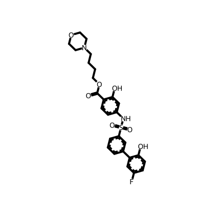 O=C(OCCCCN1CCOCC1)c1ccc(NS(=O)(=O)c2cccc(-c3cc(F)ccc3O)c2)cc1O